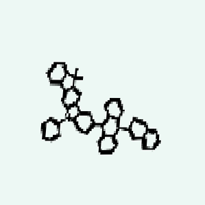 CC1(C)c2ccccc2-c2cc3c(cc21)c1cc(-c2c4ccccc4c(-c4ccc5ccccc5c4)c4ccccc24)ccc1n3-c1ccccc1